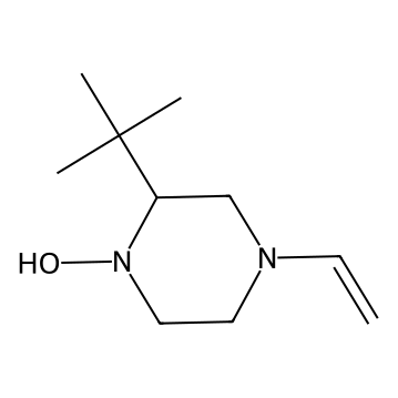 C=CN1CCN(O)C(C(C)(C)C)C1